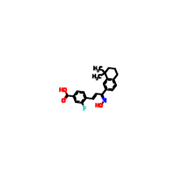 CC1(C)CCCc2ccc(C(/C=C/c3ccc(C(=O)O)cc3F)=N/O)cc21